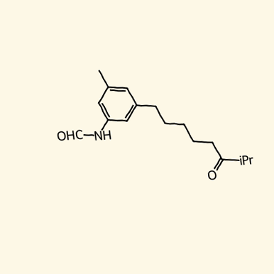 Cc1cc(CCCCCC(=O)C(C)C)cc(NC=O)c1